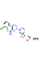 COC[C@@H](O)CN1CCC12CCCN(c1nnc(-c3cccc(Cl)c3Cl)c(N)n1)C2